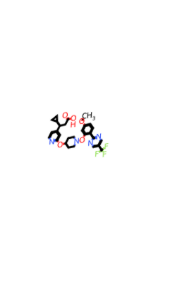 COc1ccc(-c2ncc(C(F)(F)F)cn2)c(ON2CCC(Oc3cc(C(CC(=O)O)C4CC4)ccn3)CC2)c1